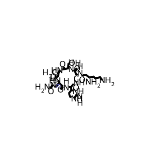 CC1NC(=O)C(CO)NC(=O)C(NC(=O)CC(N)CCCN)CNC(=O)C(C2CCNC(=N)N2)NC(=O)/C(=C/NC(N)=O)NC1=O